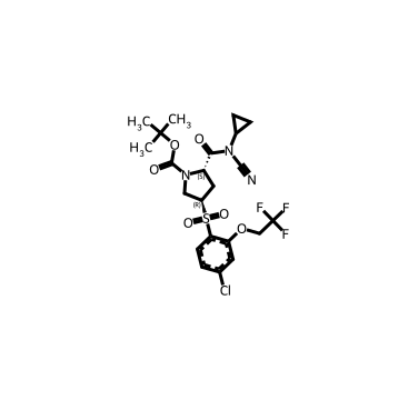 CC(C)(C)OC(=O)N1C[C@H](S(=O)(=O)c2ccc(Cl)cc2OCC(F)(F)F)C[C@H]1C(=O)N(C#N)C1CC1